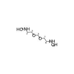 ONCCOCOCCNO